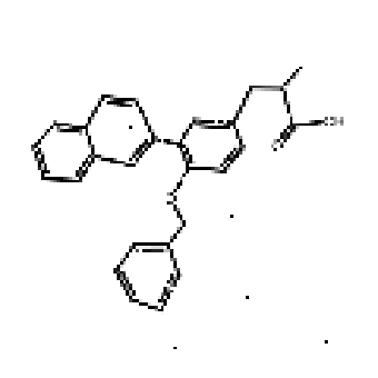 CC(Cc1ccc(OCc2ccccc2)c(-c2ccc3ccccc3c2)c1)C(=O)O